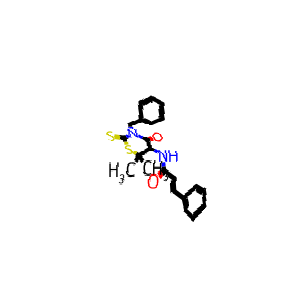 CC1(C)SC(=S)N(Cc2ccccc2)C(=O)C1NC(=O)C=Cc1ccccc1